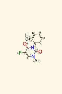 CC(=O)n1cc(F)c(=O)n(-c2ccccc2C)c1=O